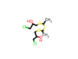 CC(SCC(O)CCl)SC(C)SCC(O)CCl